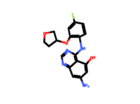 Nc1cc(O)c2c(Nc3ccc(F)cc3OC3CCOC3)ncnc2c1